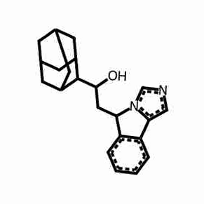 OC(CC1c2ccccc2-c2cncn21)C1C2CC3CC(C2)CC1C3